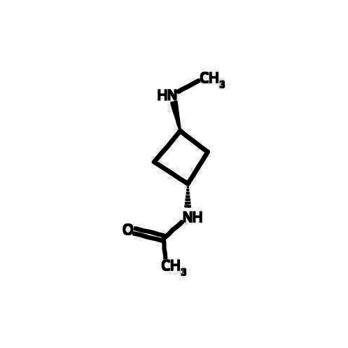 CN[C@H]1C[C@H](NC(C)=O)C1